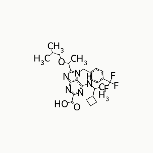 CC(C)COC(C)c1nc2nc(C(=O)O)nc(NC(C)C3CCC3)c2n1Cc1ccc(C(F)(F)F)cc1